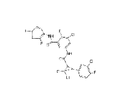 O=C(Nc1ccc(F)cc1F)c1cc(NC(=O)C2C(c3ccc(F)c(Cl)c3)C2(Cl)Cl)cc(Cl)c1F